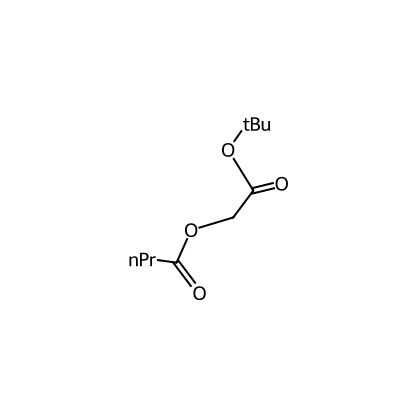 CCCC(=O)OCC(=O)OC(C)(C)C